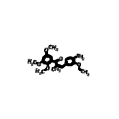 CCOc1cc(C=C(C)C(=O)c2cc(OC)cc(OC)c2OC)ccc1N